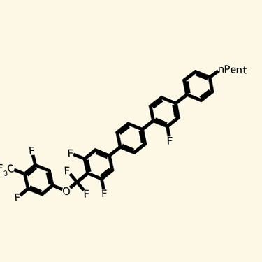 CCCCCc1ccc(-c2ccc(-c3ccc(-c4cc(F)c(C(F)(F)Oc5cc(F)c(C(F)(F)F)c(F)c5)c(F)c4)cc3)c(F)c2)cc1